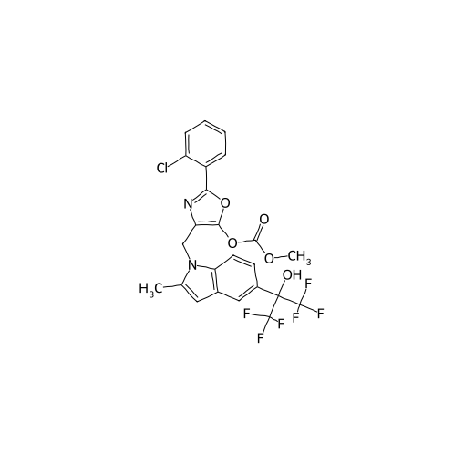 COC(=O)Oc1oc(-c2ccccc2Cl)nc1Cn1c(C)cc2cc(C(O)(C(F)(F)F)C(F)(F)F)ccc21